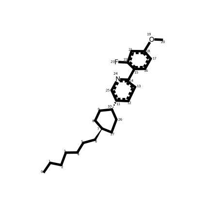 CCCCCCC[C@H]1CC[C@H](c2ccc(-c3ccc(OC)cc3F)nc2)CC1